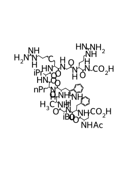 CCC[C@H](NC(=O)C(Cc1c[nH]c2ccccc12)NC(=O)[C@H](C)NC(=O)[C@@H](NC(=O)C(Cc1ccccc1)NC(=O)[C@H](CCC(=O)O)NC(C)=O)[C@@H](C)CC)C(=O)NC(C(=O)N[C@@H](C=C=CCCNC(=N)N)C(=O)NCC(=O)N[C@@H](CCCNC(=N)N)C(=O)NCC(=O)O)C(C)C